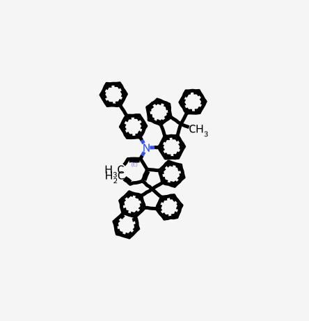 C=CC1=C(/C(=C\C)N(c2ccc(-c3ccccc3)cc2)c2cccc3c2-c2ccccc2C3(C)c2ccccc2)c2ccccc2C12c1ccccc1-c1c2ccc2ccccc12